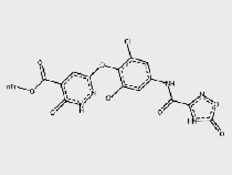 CCCOC(=O)c1cc(Oc2c(Cl)cc(NC(=O)c3noc(=O)[nH]3)cc2Cl)n[nH]c1=O